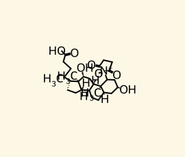 C[C@H](CCC(=O)O)[C@H]1CC[C@H]2[C@@H]3CC[C@@H]4C[C@H](O)CC([N+]5([O-])C(=O)CCC5=O)[C@]4(C)[C@H]3C[C@H](O)[C@]12C